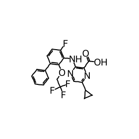 O=C(O)c1nc(C2CC2)cnc1Nc1c(F)ccc(-c2ccccc2)c1OCC(F)(F)F